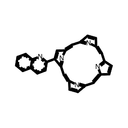 C1=CC2=NC1=CC1=NC(=CC3=NC(=CC4=NC(=C2)C=C4)C=C3c2ccc3ccccc3n2)C=C1